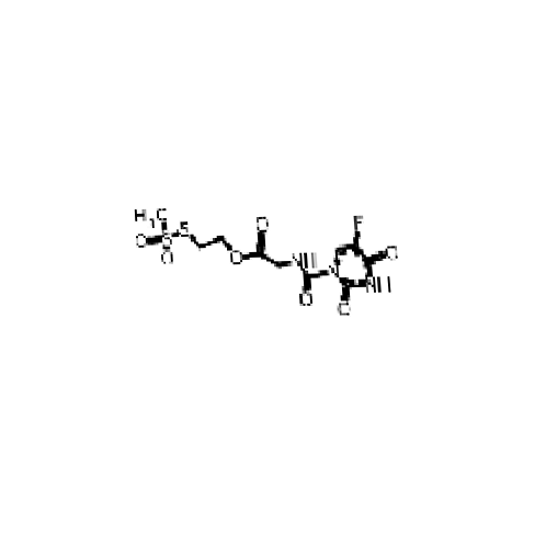 CS(=O)(=O)SCCOC(=O)CNC(=O)n1cc(F)c(=O)[nH]c1=O